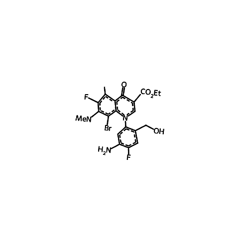 CCOC(=O)c1cn(-c2cc(N)c(F)cc2CO)c2c(Br)c(NC)c(F)c(C)c2c1=O